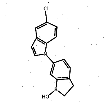 OB1CCc2ccc(-n3ccc4cc(Cl)ccc43)cc21